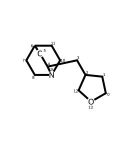 C1CC(CC2CC3CCN2CC3)CO1